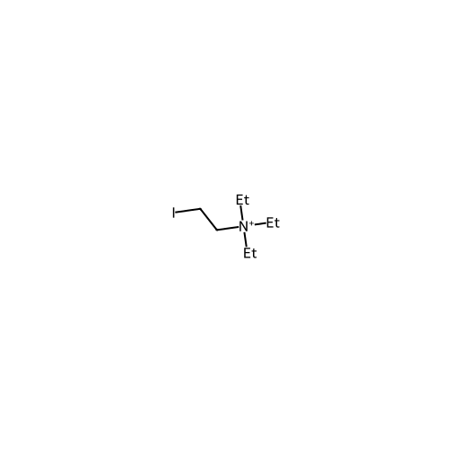 CC[N+](CC)(CC)CCI